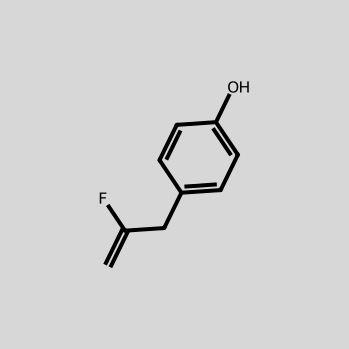 C=C(F)Cc1ccc(O)cc1